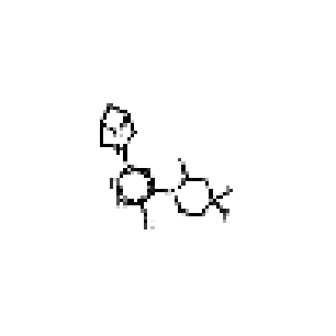 CC1CC(F)(F)CCN1c1cc(N2CC3CC(C2)O3)nnc1Cl